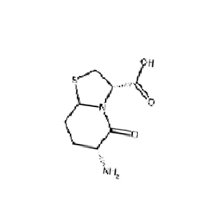 N[C@@H]1CCC2SC[C@H](C(=O)O)N2C1=O